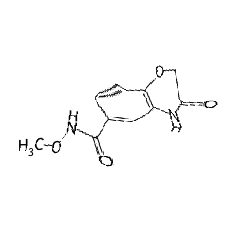 CONC(=O)c1ccc2c(c1)NC(=O)CO2